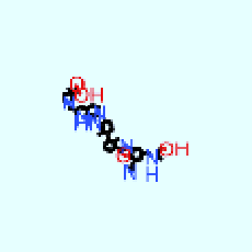 Cc1c(Nc2nccc3cc(CN4CCC(C)(C(=O)O)C4)cnc23)cccc1-c1cccc(-c2nc3cc(CNC(C)CO)cc(C#N)c3o2)c1C